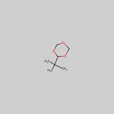 CC(C)(C)C1OCOCO1